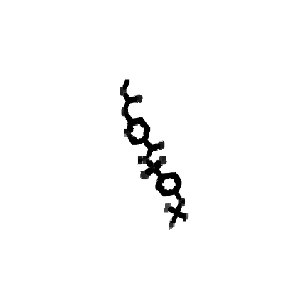 COC(=O)Oc1ccc(C(=O)NS(=O)(=O)c2ccc(OC(F)(F)F)cc2)cn1